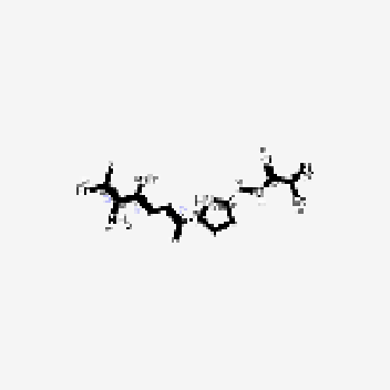 CCCC(=C\C=C(/C)[C@H]1CC[C@@H](COC(=O)C(CC)CC)N1)/C(N)=C(\C)CC